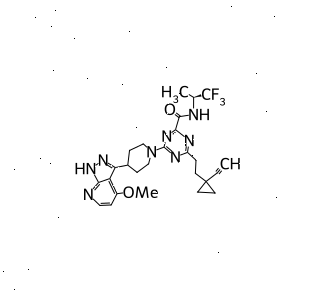 C#CC1(CCc2nc(C(=O)N[C@@H](C)C(F)(F)F)nc(N3CCC(c4n[nH]c5nccc(OC)c45)CC3)n2)CC1